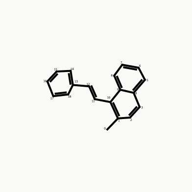 Cc1ccc2ccccc2c1C=Cc1ccccc1